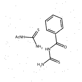 CC(=O)NC(N)=S.NC(=S)NC(=O)c1ccccc1